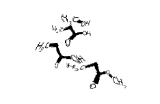 CCC(=O)O.CCC(=O)O.CCC(=O)OC.CO